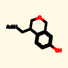 CC(=O)NCC1COCc2cc(O)ccc21